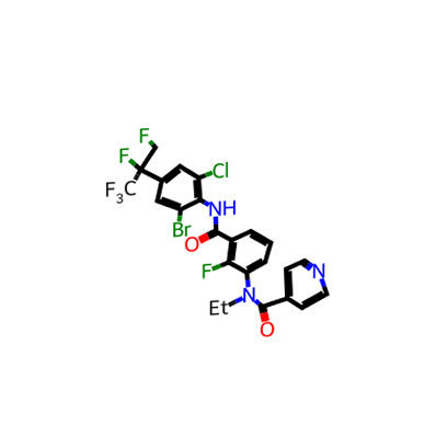 CCN(C(=O)c1ccncc1)c1cccc(C(=O)Nc2c(Cl)cc(C(F)(CF)C(F)(F)F)cc2Br)c1F